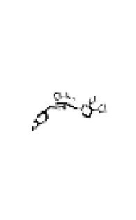 C[C@H](CCc1ccc(Cl)c(Cl)c1)NCc1ccc(F)cc1